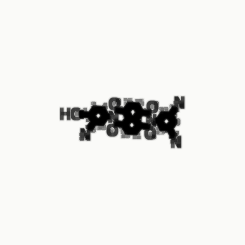 C#Cc1ccc(N2C(=O)c3ccc4c5c(ccc(c35)C2=O)C(=O)N(c2cc(C#N)cc(C#N)c2)C4=O)cc1C#N